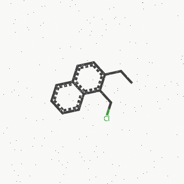 CCc1ccc2ccccc2c1CCl